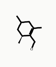 CC1=C(CCl)[C@@H](C)CC(C)C1